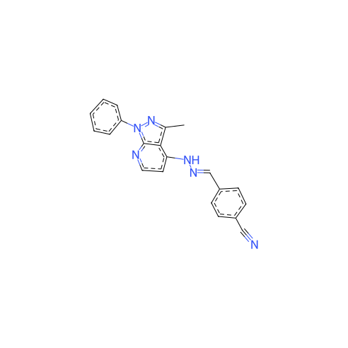 Cc1nn(-c2ccccc2)c2nccc(NN=Cc3ccc(C#N)cc3)c12